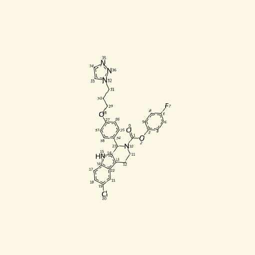 O=C(Oc1ccc(F)cc1)N1CCc2c([nH]c3ccc(Cl)cc23)C1c1ccc(OCCCn2ccnn2)cc1